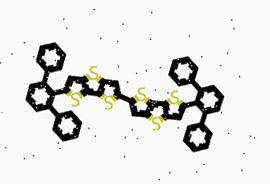 c1ccc(-c2cccc(-c3ccccc3)c2-c2cc3sc4cc(-c5cc6sc7cc(-c8c(-c9ccccc9)cccc8-c8ccccc8)sc7c6s5)sc4c3s2)cc1